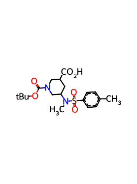 Cc1ccc(S(=O)(=O)N(C)C2CC(C(=O)O)CN(C(=O)OC(C)(C)C)C2)cc1